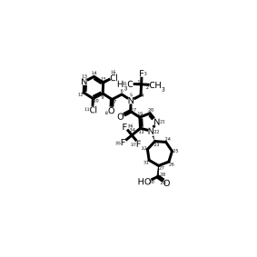 CC(C)(F)CN(CC(=O)c1c(Cl)cncc1Cl)C(=O)c1cnn([C@@H]2CCC[C@@H](C(=O)O)CC2)c1C(F)(F)F